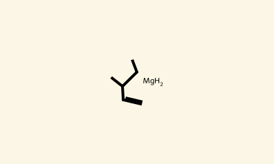 C=CC(C)CC.[MgH2]